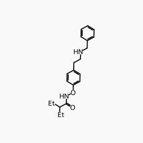 CCC(CC)C(=O)NOc1ccc(CCNCc2ccccc2)cc1